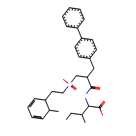 CCC(C)C(NC(=O)C(Cc1ccc(-c2ccccc2)cc1)CP(=O)(O)CCC1C=CC=CC1C)C(=O)O